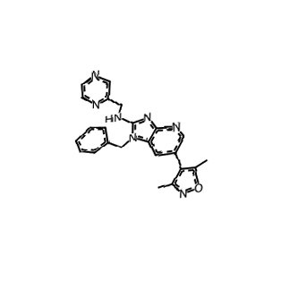 Cc1noc(C)c1-c1cnc2nc(NCc3cnccn3)n(Cc3ccccc3)c2c1